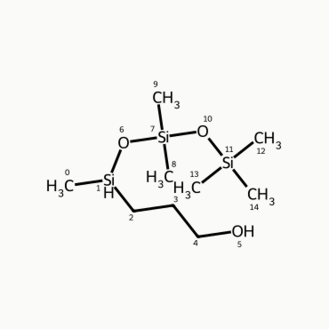 C[SiH](CCCO)O[Si](C)(C)O[Si](C)(C)C